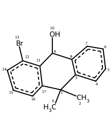 CC1(C)c2ccccc2C(O)c2c(Br)cccc21